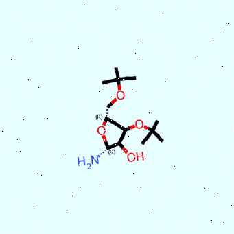 CC(C)(C)OC[C@H]1O[C@@H](N)C(O)C1OC(C)(C)C